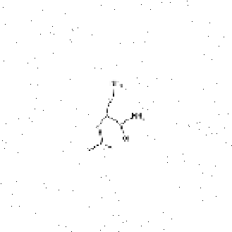 CC(C)=CC(CCN)C(N)O